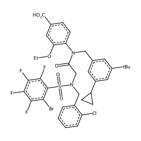 CCOc1cc(C(=O)O)ccc1N(Cc1cc(C2CC2)cc(C(C)(C)C)c1)C(=O)CN(Cc1ccccc1Cl)S(=O)(=O)c1c(F)c(F)c(F)c(F)c1Br